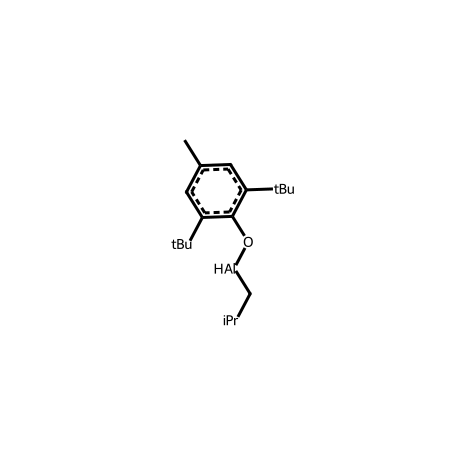 Cc1cc(C(C)(C)C)c([O][AlH][CH2]C(C)C)c(C(C)(C)C)c1